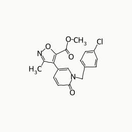 COC(=O)c1onc(C)c1-c1ccc(=O)n(Cc2ccc(Cl)cc2)c1